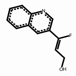 OCC=C(F)c1cnc2ccccc2c1